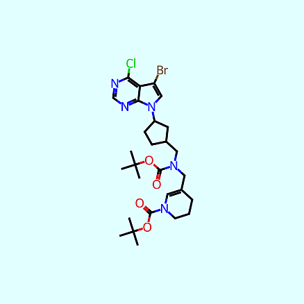 CC(C)(C)OC(=O)N1C=C(CN(CC2CCC(n3cc(Br)c4c(Cl)ncnc43)C2)C(=O)OC(C)(C)C)CCC1